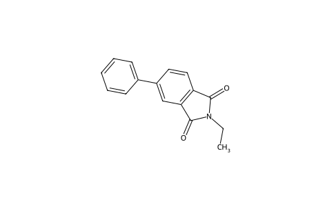 CCN1C(=O)c2ccc(-c3ccccc3)cc2C1=O